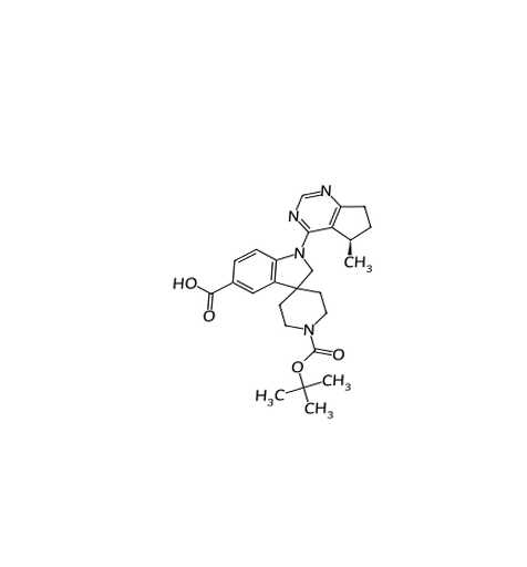 C[C@@H]1CCc2ncnc(N3CC4(CCN(C(=O)OC(C)(C)C)CC4)c4cc(C(=O)O)ccc43)c21